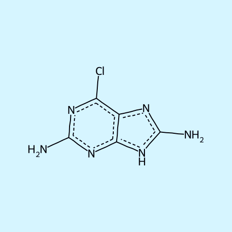 Nc1nc(Cl)c2nc(N)[nH]c2n1